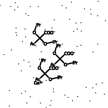 CC(=O)C(OC(C)C)(OC(C)C)C(=O)[O-].CC(=O)C(OC(C)C)(OC(C)C)C(=O)[O-].CC(=O)C(OC(C)C)(OC(C)C)C(=O)[O-].[Ga+3]